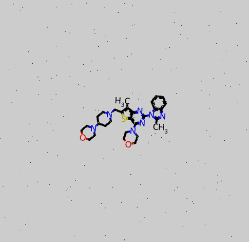 Cc1c(CN2CCC(N3CCOCC3)CC2)sc2c(N3CCOCC3)nc(-n3c(C)nc4ccccc43)nc12